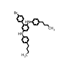 CCCCc1ccc(Nc2ccc(Nc3ccc(CCCC)cc3)c(-c3ccc(Br)cc3)c2)cc1